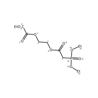 CCOC(=O)C(=O)OCCOC(=O)CP(=O)(OCC)OCC